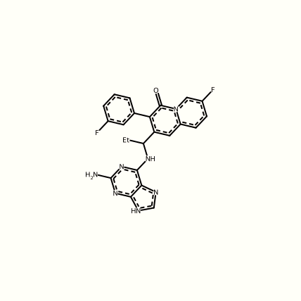 CCC(Nc1nc(N)nc2[nH]cnc12)c1cc2ccc(F)cn2c(=O)c1-c1cccc(F)c1